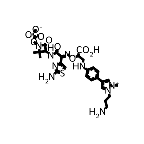 C[n+]1cc(-c2ccc(NCC(ON=C(C(=O)NC3C(=O)N(OS(=O)(=O)[O-])C3(C)C)c3csc(N)n3)C(=O)O)cc2)cn1CCCN